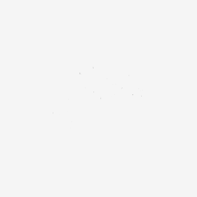 C=C/C(Cl)=C\C=C1/CCOc2cc3c(cc21)CCC(Br)C3=O